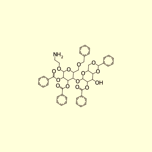 NCCOC1OC(COCc2ccccc2)C(OC2OC3COC(c4ccccc4)OC3C(O)C2OC(=O)c2ccccc2)C(OC(=O)c2ccccc2)C1OC(=O)c1ccccc1